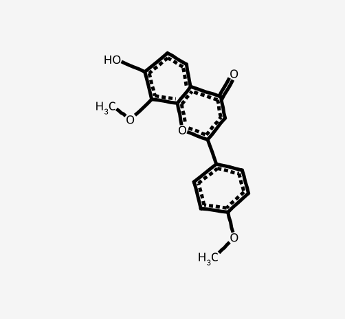 COc1ccc(-c2cc(=O)c3ccc(O)c(OC)c3o2)cc1